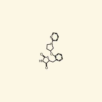 O=C1NC(=O)C(Cc2ccccc2OC2CCN(c3ccccn3)C2)S1